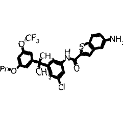 CC(C)Oc1cc(OC(F)(F)F)cc(C(C)(C)c2cc(Cl)cc(NC(=O)c3cc4cc(N)ccc4s3)c2)c1